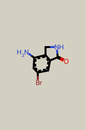 Nc1cc(Br)cc2c1CNC2=O